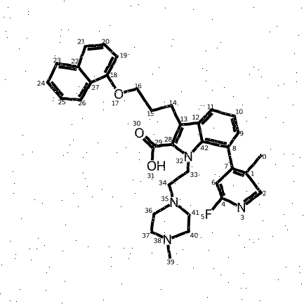 Cc1cnc(F)cc1-c1cccc2c(CCCOc3cccc4ccccc34)c(C(=O)O)n(CCN3CCN(C)CC3)c12